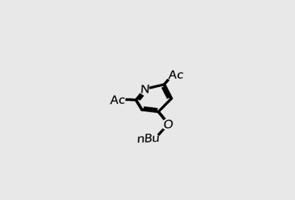 CCCCOc1cc(C(C)=O)nc(C(C)=O)c1